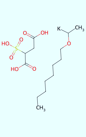 CCCCCCCCO[CH](C)[K].O=C(O)CC(C(=O)O)S(=O)(=O)O